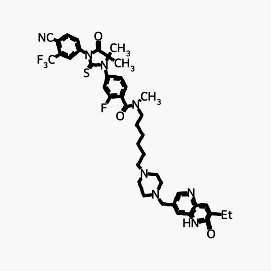 CCc1cc2ncc(CN3CCN(CCCCCCN(C)C(=O)c4ccc(N5C(=S)N(c6ccc(C#N)c(C(F)(F)F)c6)C(=O)C5(C)C)cc4F)CC3)cc2[nH]c1=O